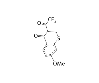 COc1ccc2c(c1)SCC(C(=O)C(F)(F)F)C2=O